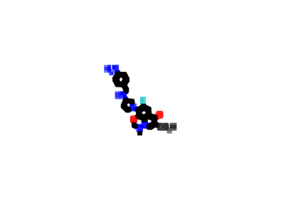 CN1COc2c(N3CCC(NCc4ccc(N)cc4)C3)c(F)cc3c(=O)c(C(=O)O)cn1c23